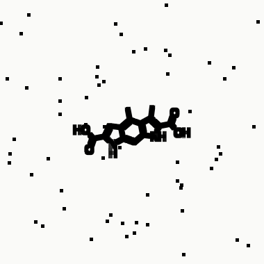 Cc1c(C(=O)O)[nH]c2cc3[nH]c(C(=O)O)cc3c(C)c12